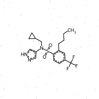 CCCCc1cc(C(F)(F)F)ccc1S(=O)(=O)N(CC1CC1)c1cn[nH]c1